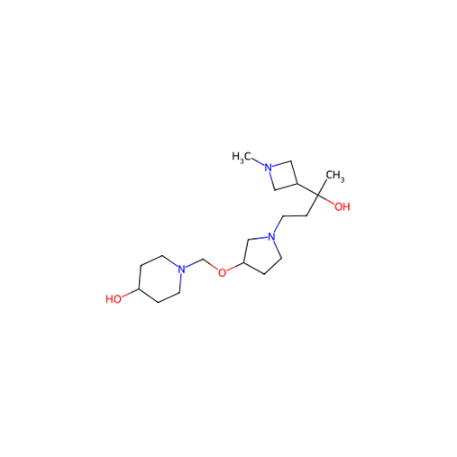 CN1CC(C(C)(O)CCN2CCC(OCN3CCC(O)CC3)C2)C1